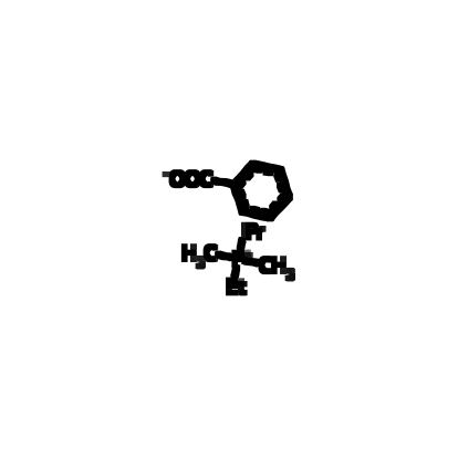 CC[P+](C)(C)C(C)C.O=C([O-])c1ccccc1